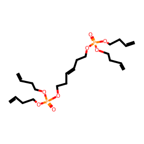 C=CCCOP(=O)(OCCC=C)OCC/C=C/CCOP(=O)(OCCC=C)OCCC=C